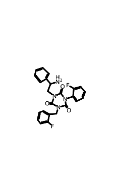 NC(Cn1c(=O)n(Cc2ccccc2F)c(=O)n(-c2ccccc2F)c1=O)c1ccccc1